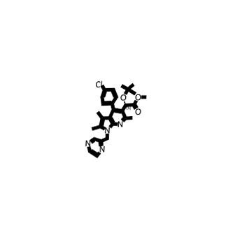 COC(=O)[C@@H](OC(C)(C)C)c1c(C)nc2c(c(C)c(C)n2Cc2cnccn2)c1-c1ccc(Cl)cc1